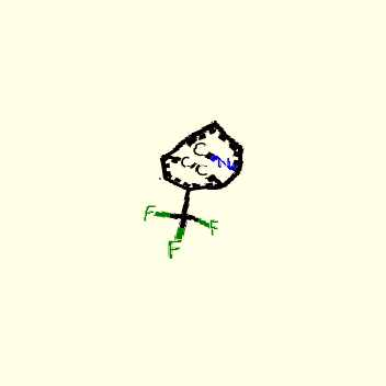 FC(F)(F)c1[c]c2ccc1-c1ccc-2cn1